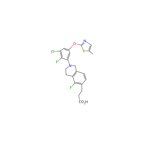 Cc1cnc(Oc2cc(Cl)c(F)c(N3CCc4c(ccc(CCC(=O)O)c4F)C3)c2)s1